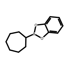 c1ccc2c(c1)OB(C1CCCCCC1)O2